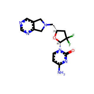 Nc1ccn([C@@H]2O[C@H](CN3Cc4cncnc4C3)CC2(F)F)c(=O)n1